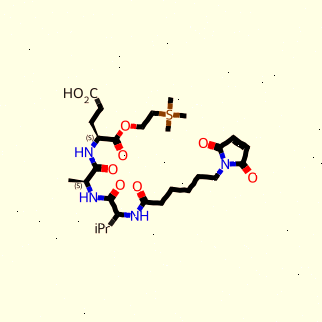 CC(C)C(NC(=O)CCCCCN1C(=O)C=CC1=O)C(=O)N[C@@H](C)C(=O)N[C@@H](CCC(=O)O)C(=O)OCCS(C)(C)C